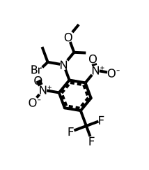 COC(C)N(c1c([N+](=O)[O-])cc(C(F)(F)F)cc1[N+](=O)[O-])C(C)Br